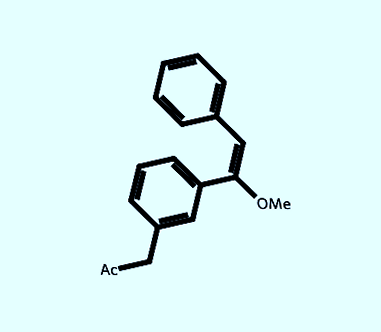 COC(=Cc1ccccc1)c1cccc(CC(C)=O)c1